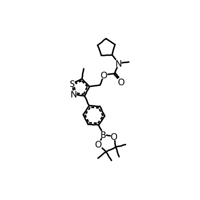 Cc1snc(-c2ccc(B3OC(C)(C)C(C)(C)O3)cc2)c1COC(=O)N(C)C1CCCC1